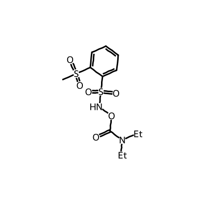 CCN(CC)C(=O)ONS(=O)(=O)c1ccccc1S(C)(=O)=O